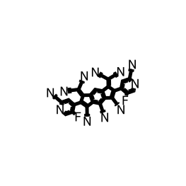 N#CC(C#N)=C1C(c2cc(C#N)ncc2F)=C(C#N)c2c1cc1c(c2C#N)C(C#N)=C(c2cc(C#N)ncc2F)C1=C(C#N)C#N